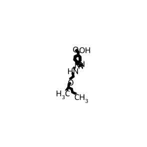 CCCCC(CC)COCCCNCn1nnc2cc(C(=O)O)ccc21